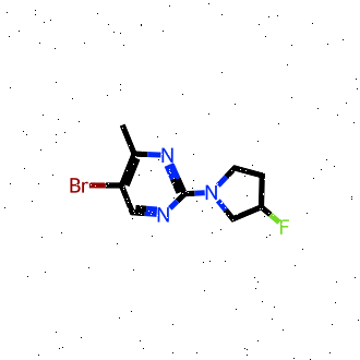 Cc1nc(N2CCC(F)C2)ncc1Br